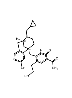 NC(=O)c1cc(CCO)c(C[C@]23CCN(CC4CC4)[C@H](Cc4ccc(O)cc42)C3)[nH]c1=O